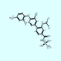 Cc1ccc(Oc2ncc(-c3ccc(C(=O)NS(C)(=O)=O)cc3OC(F)F)cc2Cl)c(Cl)c1